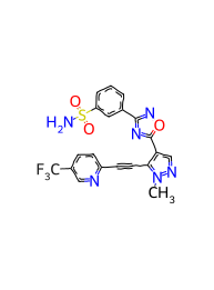 Cn1ncc(-c2nc(-c3cccc(S(N)(=O)=O)c3)no2)c1C#Cc1ccc(C(F)(F)F)cn1